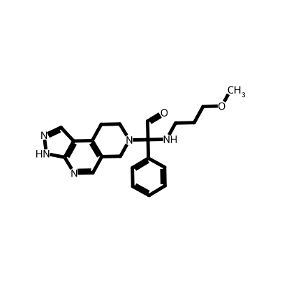 COCCCNC(C=O)(c1ccccc1)N1CCc2c(cnc3[nH]ncc23)C1